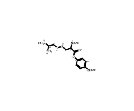 CC(=O)Nc1ccc(OC(=O)C(CSSCC(N)C(=O)O)NC(C)=O)cc1